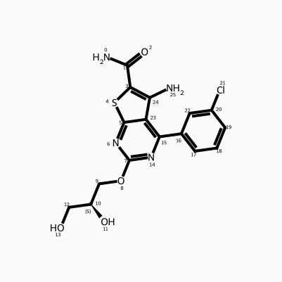 NC(=O)c1sc2nc(OC[C@@H](O)CO)nc(-c3cccc(Cl)c3)c2c1N